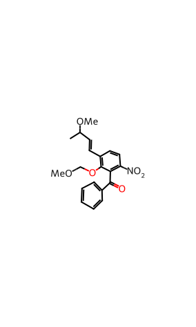 COCOc1c(/C=C/C(C)OC)ccc([N+](=O)[O-])c1C(=O)c1ccccc1